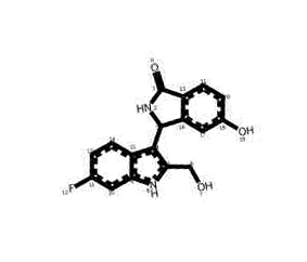 O=C1NC(c2c(CO)[nH]c3cc(F)ccc23)c2cc(O)ccc21